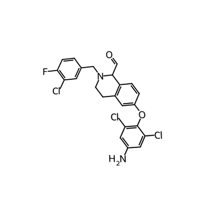 Nc1cc(Cl)c(Oc2ccc3c(c2)CCN(Cc2ccc(F)c(Cl)c2)C3C=O)c(Cl)c1